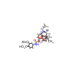 COc1cc(NC(=O)Oc2ccc3c4c2O[C@H]2[C@]5(C)CC[C@@]6(C[C@@H]5C(C)O)[C@@H](C3)N(CC3CC3)CC[C@]426)ccc1C(=O)O